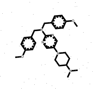 COc1ccc(CN(Cc2ccc(OC)cc2)c2ncc(N3CCC(N(C)C)CC3)cn2)cc1